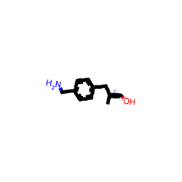 C/C(=C\O)Cc1ccc(CN)cc1